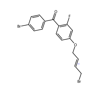 O=C(c1ccc(Br)cc1)c1ccc(OC/C=C/CBr)cc1F